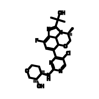 C[C@H]1COC2C(c3nc(N[C@@H]4CCOC[C@H]4O)ncc3Cl)=CC(F)=C3N=C(C(C)(C)O)N1C32